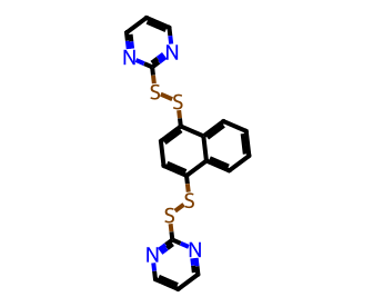 c1cnc(SSc2ccc(SSc3ncccn3)c3ccccc23)nc1